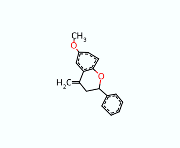 C=C1CC(c2ccccc2)Oc2ccc(OC)cc21